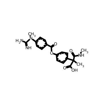 CNC(=O)C(C)(C(=O)O)c1ccc(OC(=O)c2ccc(N(C)C(=N)N)cc2)cc1